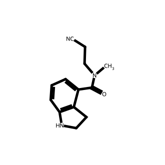 CN(CCC#N)C(=O)c1cccc2c1CCN2